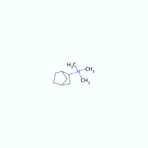 C[N+](C)(C)C1CC2CCC1C2